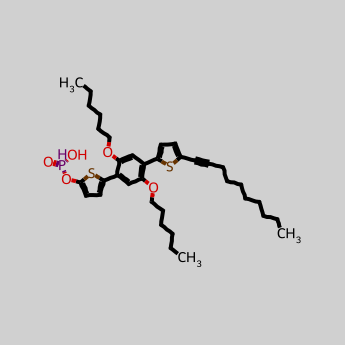 CCCCCCCCC#Cc1ccc(-c2cc(OCCCCCC)c(-c3ccc(O[PH](=O)O)s3)cc2OCCCCCC)s1